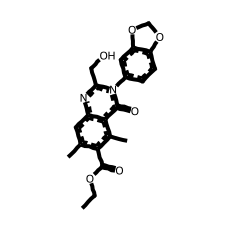 CCOC(=O)c1c(C)cc2nc(CO)n(-c3ccc4c(c3)OCO4)c(=O)c2c1C